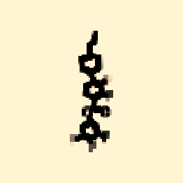 CCCc1ccc(-c2ccc(C(=O)Oc3cc(F)c(F)c(F)c3)c(F)c2F)cc1